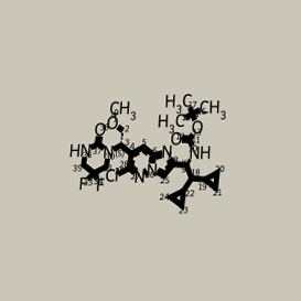 COC[C@H](c1cc2nc([C@@H](NC(=O)OC(C)(C)C)C(C3CC3)C3CC3)cn2nc1Cl)N1CC(F)(F)CNC1=O